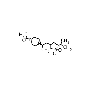 CC(=O)N1CCN(C(C)CC2CN(C(C)C)S(=O)(=O)C2)CC1